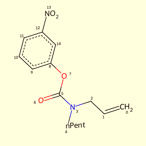 C=CCN(CCCCC)C(=O)Oc1cccc([N+](=O)[O-])c1